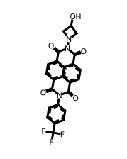 O=C1c2ccc3c4c(ccc(c24)C(=O)N1c1ccc(C(F)(F)F)cc1)C(=O)N(N1CC(O)C1)C3=O